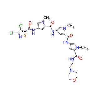 Cn1cc(NC(=O)c2cc(NC(=O)c3cc(NC(=O)c4snc(Cl)c4Cl)cn3C)cn2C)cc1C(=O)NCCN1CCOCC1